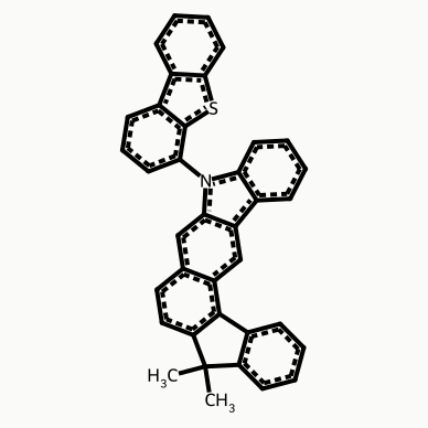 CC1(C)c2ccccc2-c2c1ccc1cc3c(cc21)c1ccccc1n3-c1cccc2c1sc1ccccc12